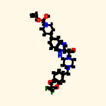 CC(C)(C)OC(=O)N1CCC(c2ccc3[nH]c(C(=O)N4CCN(Cc5ccc6c(c5)OC(F)(F)O6)CC4)nc3c2)CC1